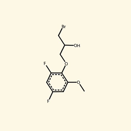 COc1cc(F)cc(F)c1OCC(O)CBr